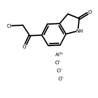 O=C1Cc2cc(C(=O)CCl)ccc2N1.[Al+3].[Cl-].[Cl-].[Cl-]